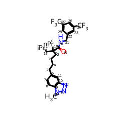 CCCC(CCCCc1ccc2c(c1)nnn2C)(CC(C)C)C(=O)NCc1cc(C(F)(F)F)cc(C(F)(F)F)c1